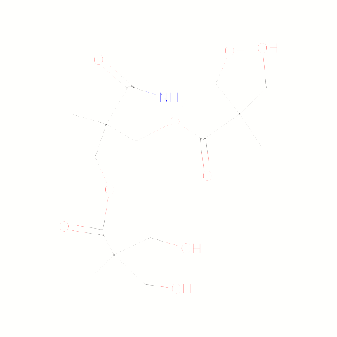 CC(COC(=O)C(C)(CO)CO)(COC(=O)C(C)(CO)CO)C(N)=O